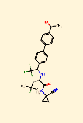 CC(O)c1ccc(-c2ccc([C@H](N[C@@H](CC(C)(C)F)C(=O)NC3(C#N)CC3)C(F)(F)F)cc2)cc1